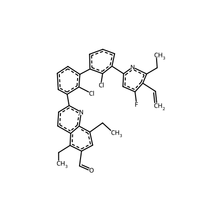 C=Cc1c(F)cc(-c2cccc(-c3cccc(-c4ccc5c(CC)c(C=O)cc(CC)c5n4)c3Cl)c2Cl)nc1CC